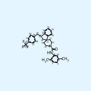 Cc1ccc(C)c(NC(=O)N2CCC3(CC2)CN(Cc2ccc(C(F)(F)F)cc2)c2ccccc23)c1